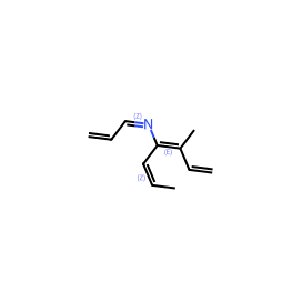 C=C\C=N/C(/C=C\C)=C(\C)C=C